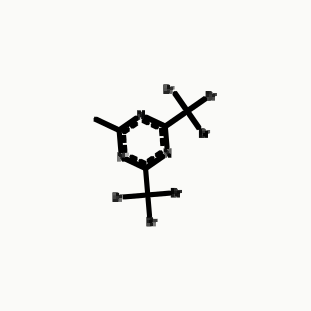 Cc1nc(C(Br)(Br)Br)nc(C(Br)(Br)Br)n1